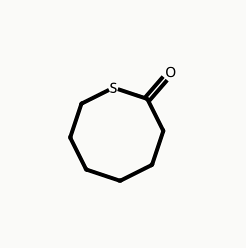 O=C1CCCCCCS1